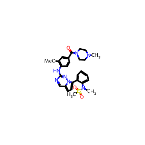 COc1cc(C(=O)N2CCN(C)CC2)ccc1Nc1ncc2ccc(-c3ccccc3N(C)S(C)(=O)=O)n2n1